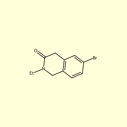 CCN1Cc2ccc(Br)cc2CC1=O